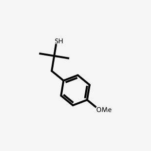 COc1ccc(CC(C)(C)S)cc1